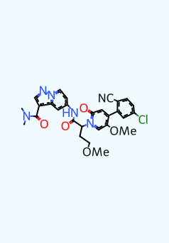 COCCC(C(=O)Nc1ccn2ncc(C(=O)N(C)C)c2c1)n1cc(OC)c(-c2cc(Cl)ccc2C#N)cc1=O